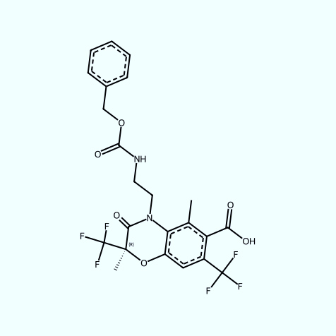 Cc1c(C(=O)O)c(C(F)(F)F)cc2c1N(CCNC(=O)OCc1ccccc1)C(=O)[C@](C)(C(F)(F)F)O2